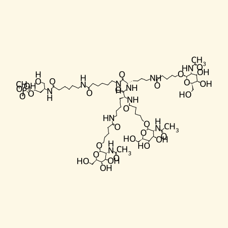 COP(=O)(O)OCC[C@@H](CO)NC(=O)CCCCCNC(=O)CCCCCNC(=O)[C@H](CCCCNC(=O)CCCCO[C@@H]1O[C@H](CO)[C@H](O)[C@H](O)[C@H]1NC(C)=O)NC(=O)[C@H](CCCCNC(=O)CCCCO[C@@H]1O[C@H](CO)[C@H](O)[C@H](O)[C@H]1NC(C)=O)NC(=O)CCCCO[C@@H]1O[C@H](CO)[C@H](O)[C@H](O)[C@H]1NC(C)=O